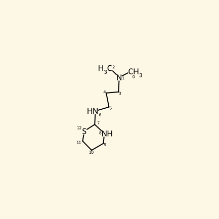 CN(C)CCCNC1NCCCS1